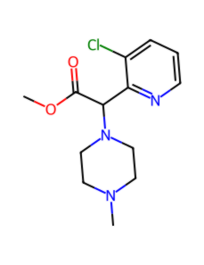 COC(=O)C(c1ncccc1Cl)N1CCN(C)CC1